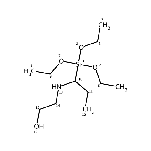 CCO[Si](OCC)(OCC)C(CC)NCCO